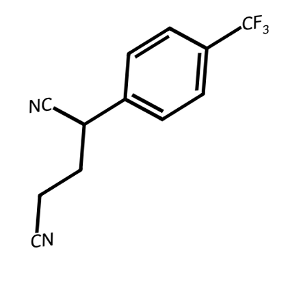 N#CCCC(C#N)c1ccc(C(F)(F)F)cc1